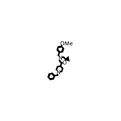 COc1ccc(CN2CC(C3CCN(Cc4ccccc4)CC3)OC3(CC3)C2)cc1